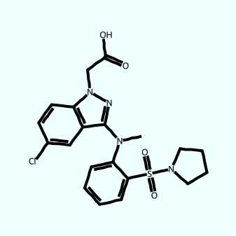 CN(c1ccccc1S(=O)(=O)N1CCCC1)c1nn(CC(=O)O)c2ccc(Cl)cc12